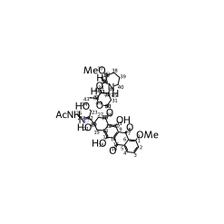 COc1cccc2c1C(=O)c1c(O)c3c(c(O)c1C2=O)C[C@@](O)(/C(CO)=N/NC(C)=O)C[C@@H]3O[C@H]1C[C@H]2[C@H](O[C@@H]3[C@@H](OC)CCCN32)[C@H](C)O1